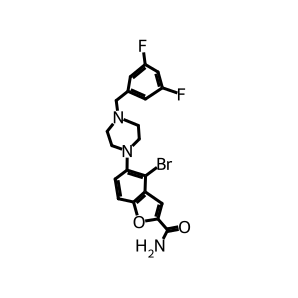 NC(=O)c1cc2c(Br)c(N3CCN(Cc4cc(F)cc(F)c4)CC3)ccc2o1